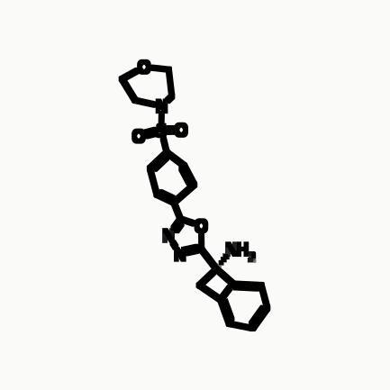 N[C@@]1(c2nnc(-c3ccc(S(=O)(=O)N4CCOCC4)cc3)o2)Cc2ccccc21